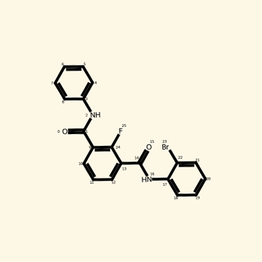 O=C(Nc1ccccc1)c1cccc(C(=O)Nc2ccccc2Br)c1F